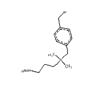 CCCCCCCCCCCC[N+](C)(C)Cc1ccc(CBr)cc1